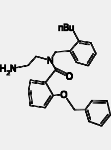 CCCCc1ccccc1CN(CCN)C(=O)c1ccccc1OCc1ccccc1